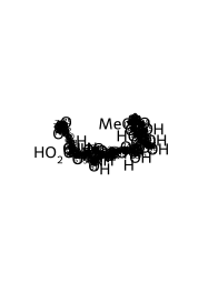 COc1cccc2c1C(=O)c1c(O)c3c(c(O)c1C2=O)C[C@@](O)(C(=O)CO)C[C@@H]3O[C@H]1C[C@H](NC(=O)OCc2ccc(NC(=O)[C@@H](CC(N)=O)NC(=O)[C@@H](C)NC(=O)[C@@H](C)NC(=O)C(CC(=O)O)NC(=O)CCCCCN3C(=O)C=CC3=O)cc2)[C@H](O)[C@H](C)O1